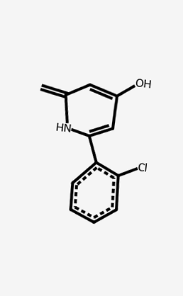 C=C1C=C(O)C=C(c2ccccc2Cl)N1